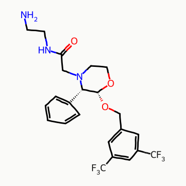 NCCNC(=O)CN1CCO[C@H](OCc2cc(C(F)(F)F)cc(C(F)(F)F)c2)[C@@H]1c1ccccc1